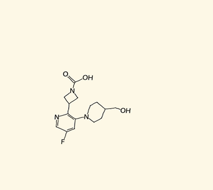 O=C(O)N1CC(c2ncc(F)cc2N2CCC(CO)CC2)C1